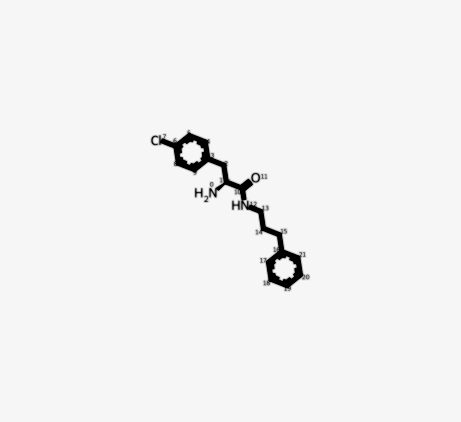 N[C@@H](Cc1ccc(Cl)cc1)C(=O)NCCCc1ccccc1